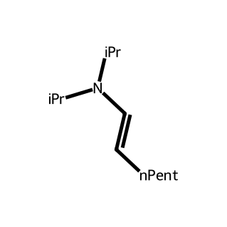 CCCCCC=CN(C(C)C)C(C)C